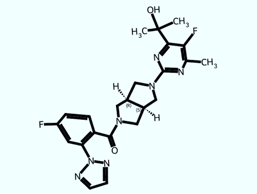 Cc1nc(N2C[C@H]3CN(C(=O)c4ccc(F)cc4-n4nccn4)C[C@H]3C2)nc(C(C)(C)O)c1F